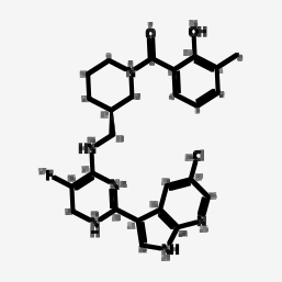 Cc1cccc(C(=O)N2CCC[C@H](CNC3=C(F)CNC(c4c[nH]c5ncc(Cl)cc45)=N3)C2)c1O